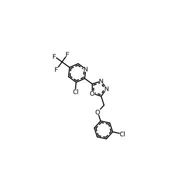 FC(F)(F)c1cnc(-c2nnc(COc3cccc(Cl)c3)o2)c(Cl)c1